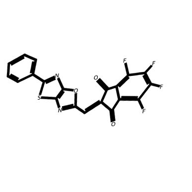 O=C1C(=Cc2nc3sc(-c4ccccc4)nc3o2)C(=O)c2c(F)c(F)c(F)c(F)c21